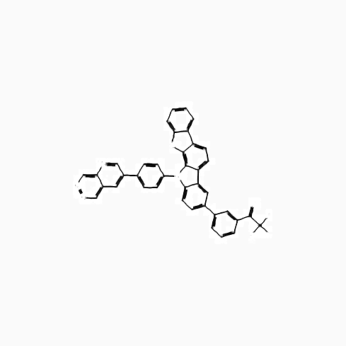 O=C(c1cccc(-c2ccc3c(c2)c2ccc4c5ccccc5sc4c2n3-c2ccc(-c3cnc4cnncc4c3)cc2)c1)C(F)(F)F